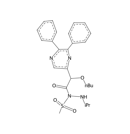 CCCCOC(C(=O)N(NC(C)C)S(C)(=O)=O)c1cnc(-c2ccccc2)c(-c2ccccc2)n1